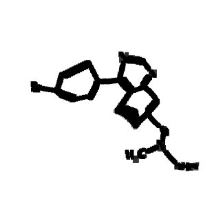 CCCCCCN(C)Oc1ccc2c(-c3ccc(Br)cc3)ncnc2c1